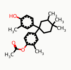 CC(=O)Oc1ccc(C2(c3ccc(O)c(C)c3)CCC(C)(C)C(C)C2)cc1C